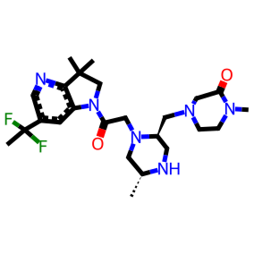 C[C@@H]1CN(CC(=O)N2CC(C)(C)c3ncc(C(C)(F)F)cc32)[C@@H](CN2CCN(C)C(=O)C2)CN1